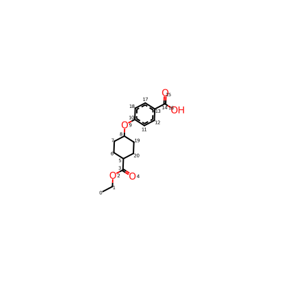 CCOC(=O)C1CCC(Oc2ccc(C(=O)O)cc2)CC1